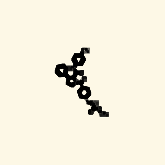 CC(C)(C)OC(=O)NC[C@H]1CC[C@H](C(=O)N2CCC(c3ccccc3)C2C(=O)Nc2ccc(C#N)cc2)CC1